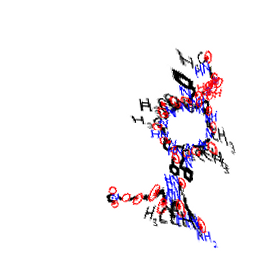 CC(=O)NCCOP(=O)(O)OP(=O)(O)OCOc1cc2ccccc2nc1C(=O)N[C@@H]1CNC(=O)[C@H](C(C)C)N(C)C(=O)CN(C)C(=O)CNC(=O)[C@@H]2CCCCN2C(=O)[C@H](NC(=O)c2nc3ccccc3cc2OCc2ccc(NC(=O)[C@H](CCCNC(N)=O)NC(=O)[C@@H](NC(=O)CCOCCOCCOCCN3C(=O)C=CC3=O)C(C)C)cc2)CNC(=O)[C@H](C(C)C)N(C)C(=O)CN(C)C(=O)CNC(=O)[C@@H]2CCCCN2C1=O